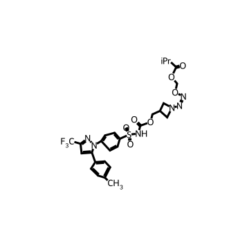 Cc1ccc(-c2cc(C(F)(F)F)nn2-c2ccc(S(=O)(=O)NC(=O)OCC3CN(/N=N\OCOC(=O)C(C)C)C3)cc2)cc1